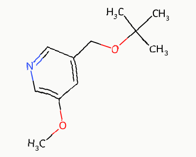 COc1cncc(COC(C)(C)C)c1